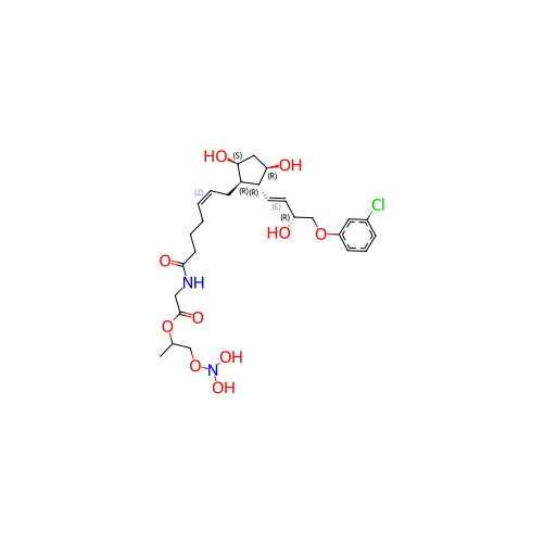 CC(CON(O)O)OC(=O)CNC(=O)CCC/C=C\C[C@@H]1[C@@H](/C=C/[C@@H](O)COc2cccc(Cl)c2)[C@H](O)C[C@@H]1O